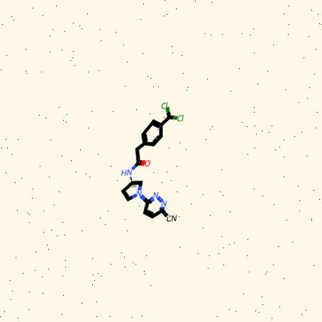 N#Cc1ccc(N2CC[C@H](NC(=O)Cc3ccc(C(Cl)Cl)cc3)C2)nn1